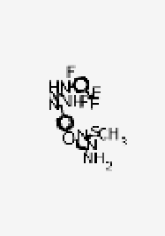 CSc1nc(N)cc(Oc2ccc(-c3nnc(Nc4cc(C(F)(F)F)ccc4F)[nH]3)cc2)n1